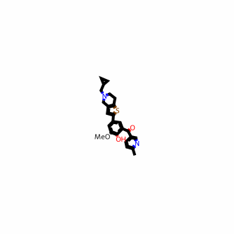 COc1cc(-c2cc3c(s2)CCN(CC2CC2)C3)cc(C(=O)c2ccc(C)nc2)c1O